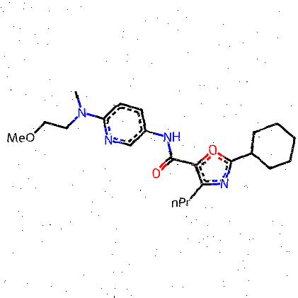 CCCc1nc(C2CCCCC2)oc1C(=O)Nc1ccc(N(C)CCOC)nc1